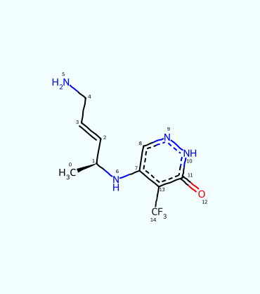 C[C@@H](/C=C/CN)Nc1cn[nH]c(=O)c1C(F)(F)F